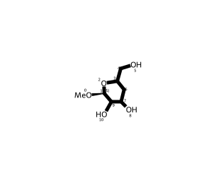 CO[C@H]1OC(CO)CC(O)C1O